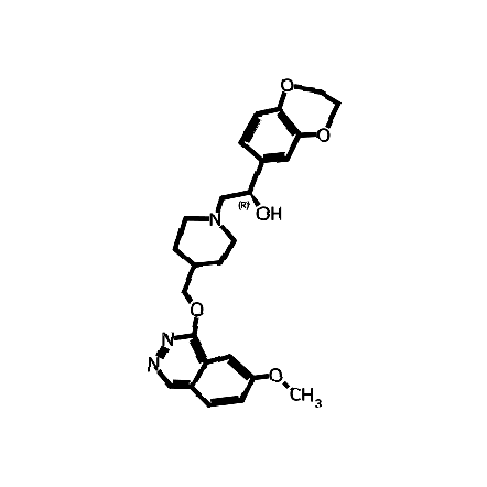 COc1ccc2cnnc(OCC3CCN(C[C@H](O)c4ccc5c(c4)OCCO5)CC3)c2c1